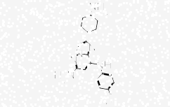 COc1ccc(Nc2cc(N)nn3cc([C@H]4CC[C@H](N)CC4)nc23)cc1